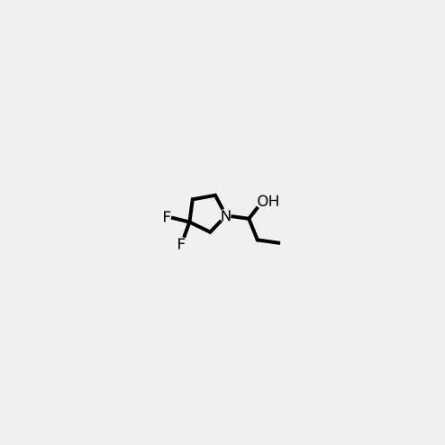 CCC(O)N1CCC(F)(F)C1